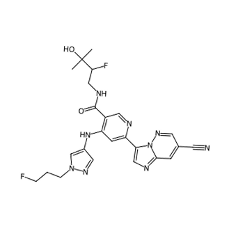 CC(C)(O)C(F)CNC(=O)c1cnc(-c2cnc3cc(C#N)cnn23)cc1Nc1cnn(CCCF)c1